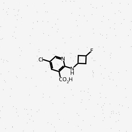 O=C(O)c1cc(Cl)cnc1NC1CC(F)C1